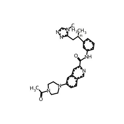 CC(=O)N1CCN(c2ccc3cnc(C(=O)Nc4cccc([C@H](C)Cc5nncn5C)c4)cc3c2)CC1